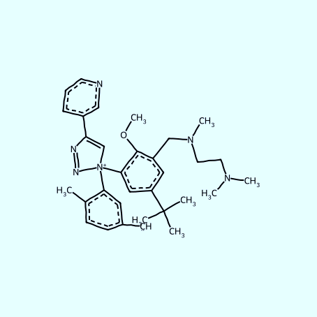 [CH]c1ccc(C)c([N+]2(c3cc(C(C)(C)C)cc(CN(C)CCN(C)C)c3OC)C=C(c3cccnc3)N=N2)c1